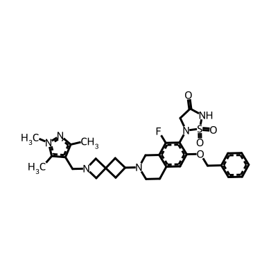 Cc1nn(C)c(C)c1CN1CC2(CC(N3CCc4cc(OCc5ccccc5)c(N5CC(=O)NS5(=O)=O)c(F)c4C3)C2)C1